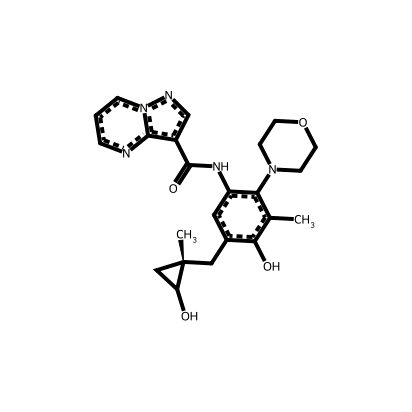 Cc1c(O)c(C[C@@]2(C)CC2O)cc(NC(=O)c2cnn3cccnc23)c1N1CCOCC1